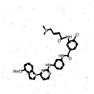 COc1cccc2c1ccn2-c1ccnc(Nc2cccc(NC(=O)c3ccc(Cl)c(NC(=O)C=CCN(C)C)c3)c2)n1